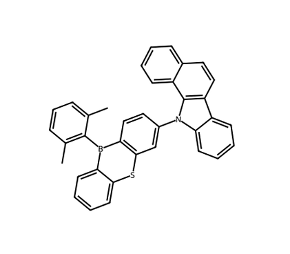 Cc1cccc(C)c1B1c2ccccc2Sc2cc(-n3c4ccccc4c4ccc5ccccc5c43)ccc21